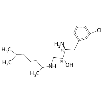 CC(C)CCCC(C)NC[C@@H](O)[C@@H](N)Cc1cccc(Cl)c1